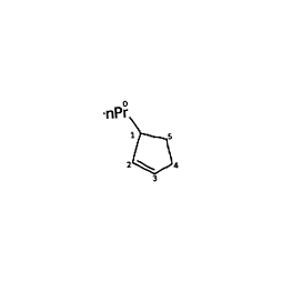 CC[CH]C1C=CCC1